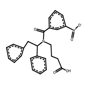 O=C(O)CCCN(C(=O)c1cccc([N+](=O)[O-])c1)C(Cc1ccccc1)c1ccccc1